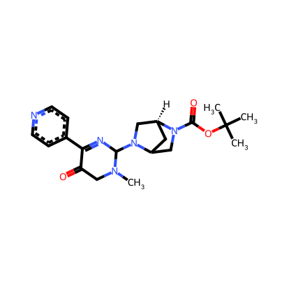 CN1CC(=O)C(c2ccncc2)=NC1N1C[C@@H]2CC1CN2C(=O)OC(C)(C)C